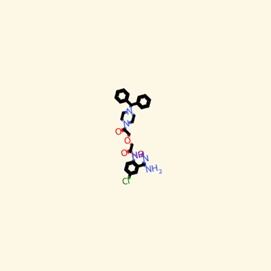 N/C(=N/O)c1cc(Cl)ccc1NC(=O)COCC(=O)N1CCN(C(c2ccccc2)c2ccccc2)CC1